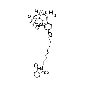 CC1(C)C=C2C(=[N+]([O-])c3cc(OCCCCCCCCCCN4C(=O)c5ccccc5C4=O)ccc32)C(C)(C)C1